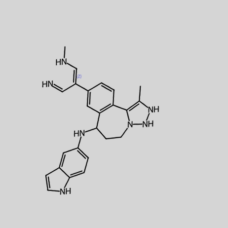 CN/C=C(\C=N)c1ccc2c(c1)C(Nc1ccc3[nH]ccc3c1)CCN1NNC(C)=C21